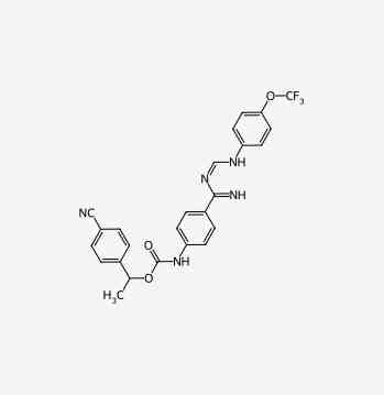 CC(OC(=O)Nc1ccc(C(=N)/N=C\Nc2ccc(OC(F)(F)F)cc2)cc1)c1ccc(C#N)cc1